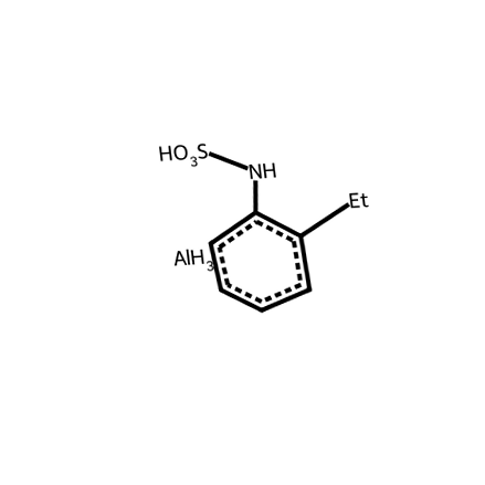 CCc1ccccc1NS(=O)(=O)O.[AlH3]